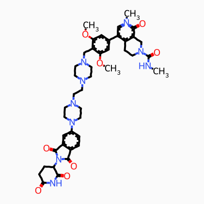 CNC(=O)N1CCc2c(-c3cc(OC)c(CN4CCN(CCN5CCN(c6ccc7c(c6)C(=O)N(C6CCC(=O)NC6=O)C7=O)CC5)CC4)c(OC)c3)cn(C)c(=O)c2C1